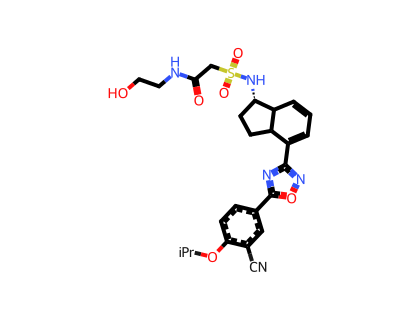 CC(C)Oc1ccc(-c2nc(C3=CC=CC4C3CC[C@@H]4NS(=O)(=O)CC(=O)NCCO)no2)cc1C#N